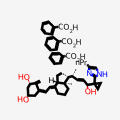 C=C1/C(=C\C=C2/CCC[C@]3(C)[C@@H]([C@H](C)/C=C/[C@H](O)C4(c5nc(CCC)c[nH]5)CC4)CC[C@@H]23)C[C@@H](O)C[C@@H]1O.O=C(O)c1ccccc1.O=C(O)c1ccccc1.O=C(O)c1ccccc1